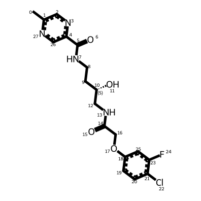 Cc1cnc(C(=O)NCC[C@H](O)CNC(=O)COc2ccc(Cl)c(F)c2)cn1